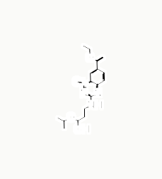 C=C(OCC)c1ccc2nc(NCCC(O)OC(C)C)n[n+]([O-])c2c1